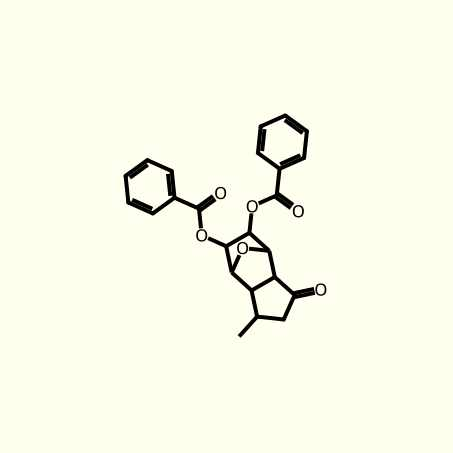 CC1CC(=O)C2C3OC(C(OC(=O)c4ccccc4)C3OC(=O)c3ccccc3)C12